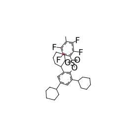 Cc1c(F)c(F)c(S(=O)(=O)Oc2c(C3CCCCC3)cc(C3CCCCC3)cc2C2CCCCC2)c(F)c1F